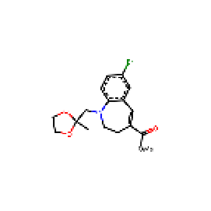 COC(=O)C1=Cc2cc(Br)ccc2N(CC2(C)OCCO2)CC1